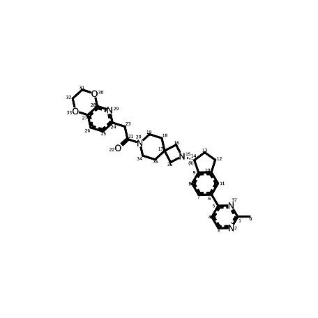 Cc1nccc(-c2ccc3c(c2)CC[C@H]3N2CC3(CCN(C(=O)Cc4ccc5c(n4)OCCO5)CC3)C2)n1